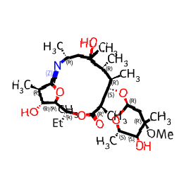 CC[C@H]1OC(=O)[C@H](C)[C@@H](O[C@H]2C[C@@](C)(OC)[C@@H](O)[C@H](C)O2)[C@H](C)[C@@H](C)C(C)(O)C[C@@H](C)/N=C2\O[C@]1(C)[C@H](O)[C@H]2C